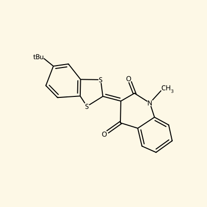 CN1C(=O)/C(=C2/Sc3ccc(C(C)(C)C)cc3S2)C(=O)c2ccccc21